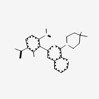 NC(=O)c1ccc([N+](=O)[O-])c(-c2cc3cccnc3c(N3CCC(F)(F)CC3)n2)c1F